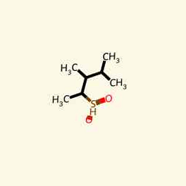 CC(C)C(C)C(C)[SH](=O)=O